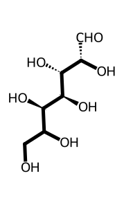 O=C[C@H](O)[C@@H](O)[C@@H](O)[C@H](O)C(O)CO